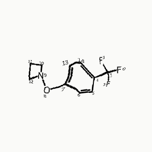 FC(F)(F)c1ccc(ON2CCC2)cc1